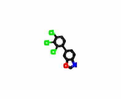 Clc1ccc(-c2ccc3ncoc3c2)c(Cl)c1Cl